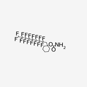 NC(=O)OC1(CC(F)(F)C(F)(F)C(F)(F)C(F)(F)C(F)(F)C(F)(F)C(F)(F)C(F)F)CCCCC1